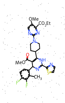 CCOC(=O)c1nc(N2CCC(C3=C(C(=O)OC)C(c4ccc(F)c(F)c4C)N=C(c4nccs4)N3)CC2)ncc1OC